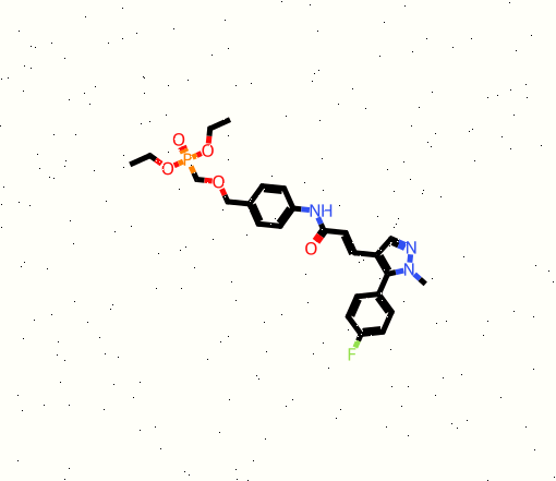 CCOP(=O)(COCc1ccc(NC(=O)/C=C/c2cnn(C)c2-c2ccc(F)cc2)cc1)OCC